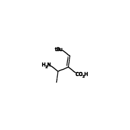 CC(N)C(=CC(C)(C)C)C(=O)O